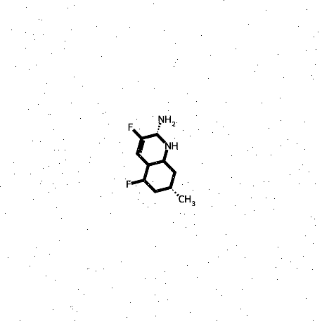 C[C@@H]1CC(F)C2C=C(F)[C@H](N)NC2C1